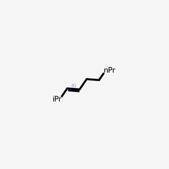 [CH2]C(C)/C=C/CCCCC